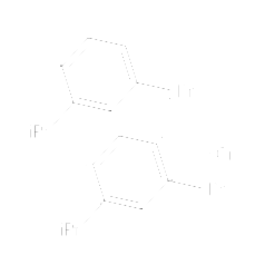 CC(C)c1cccc(C(C)C)c1.CC(C)c1cccc(C(C)C)c1.[Cr]